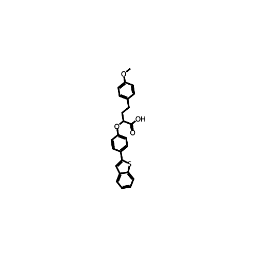 COc1ccc(CCC(Oc2ccc(-c3cc4ccccc4s3)cc2)C(=O)O)cc1